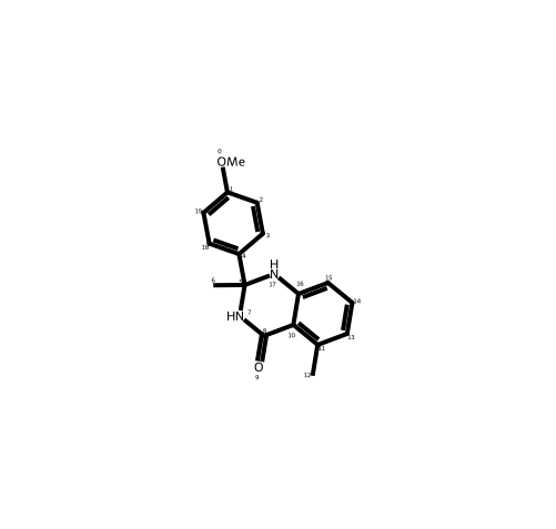 COc1ccc(C2(C)NC(=O)c3c(C)cccc3N2)cc1